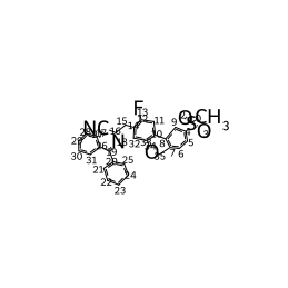 CS(=O)(=O)c1ccc2c(c1)-c1cc(F)c(CC(C#N)N=C(c3ccccc3)c3ccccc3)cc1OC2